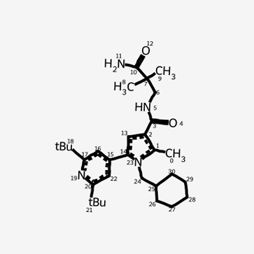 Cc1c(C(=O)NCC(C)(C)C(N)=O)cc(-c2cc(C(C)(C)C)nc(C(C)(C)C)c2)n1CC1CCCCC1